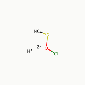 N#CSOCl.[Hf].[Zr]